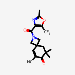 Cc1nc(C(=O)N2CC3(C=C(C#N)C(=O)C(C)(C)C3)C2)c(C(F)(F)F)o1